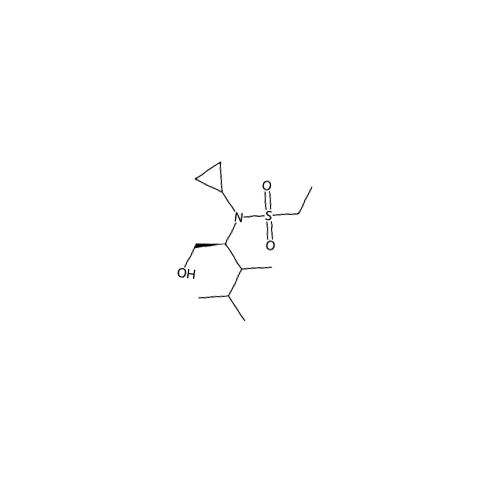 CCS(=O)(=O)N(C1CC1)[C@H](CO)C(C)C(C)C